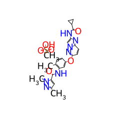 CS(=O)(=O)O.Cc1cc(C(=O)Nc2cc(Oc3ccc4nc(NC(=O)C5CC5)cn4n3)ccc2C)n(C)n1